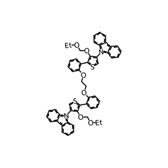 CCOCOc1c(-n2c3ccccc3c3ccccc32)csc1-c1ccccc1OCCOc1ccccc1-c1scc(-n2c3ccccc3c3ccccc32)c1OCOCC